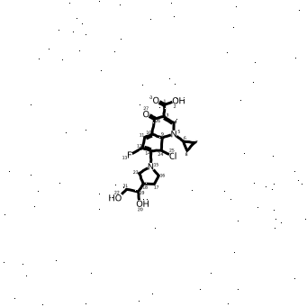 O=C(O)C1=CN(C2CC2)C2C(=CC(F)=C(N3CCC(C(O)CO)C3)C2Cl)C1=O